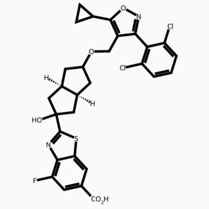 O=C(O)c1cc(F)c2nc(C3(O)C[C@H]4CC(OCc5c(-c6c(Cl)cccc6Cl)noc5C5CC5)C[C@H]4C3)sc2c1